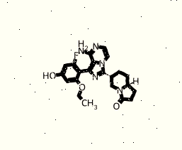 CCOc1cc(O)cc(F)c1-c1nc([C@@H]2CC[C@H]3CCC(=O)N3C2)n2ccnc(N)c12